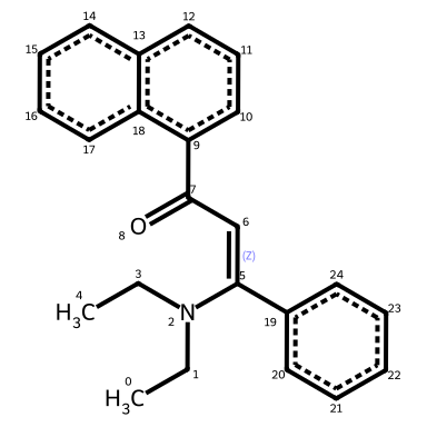 CCN(CC)/C(=C\C(=O)c1cccc2ccccc12)c1ccccc1